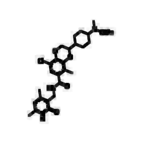 CON(C)C1CCC(C2COc3c(Cl)cc(C(=O)NCc4c(C)cc(C)[nH]c4=O)c(C)c3O2)CC1